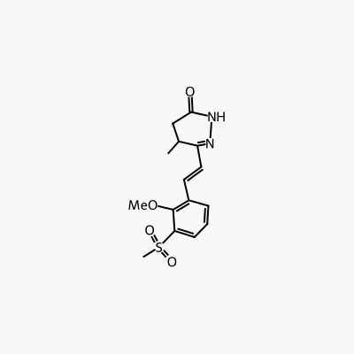 COc1c(C=CC2=NNC(=O)CC2C)cccc1S(C)(=O)=O